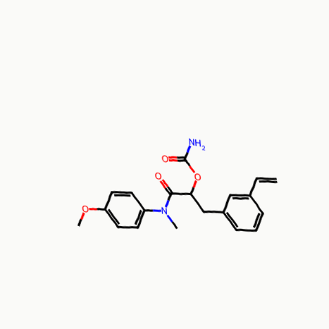 C=Cc1cccc(CC(OC(N)=O)C(=O)N(C)c2ccc(OC)cc2)c1